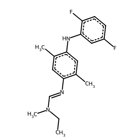 CCN(C)C=Nc1cc(C)c(Nc2cc(F)ccc2F)cc1C